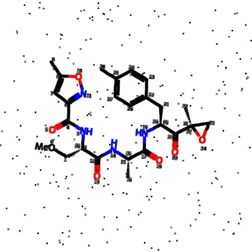 COC[C@H](NC(=O)c1cc(C)on1)C(=O)N[C@@H](C)C(=O)N[C@@H](Cc1ccc(C)cc1)C(=O)[C@@]1(C)CO1